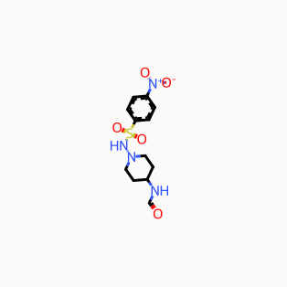 O=CNC1CCN(NS(=O)(=O)c2ccc([N+](=O)[O-])cc2)CC1